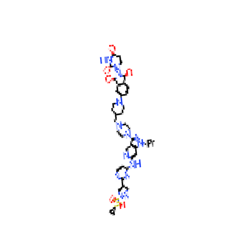 CC(C)n1nc(N2CCN(CC3CCN(c4ccc5c(c4)C(=O)N(N4CCC(=O)NC4=O)C5=O)CC3)CC2)c2cnc(Nc3ccnc(-c4cnn(S(=O)(=O)C5CC5)c4)n3)cc21